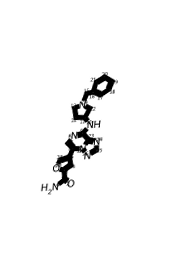 NC(=O)c1cc(-c2cnc(NC3CCN(Cc4ccccc4)C3)c3ncnn23)co1